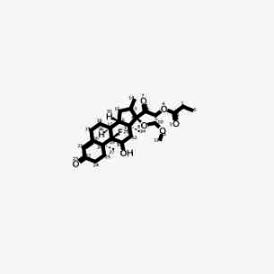 CCC(=O)OCC(=O)[C@@]1(OCOC)C(C)C[C@H]2[C@@H]3CCC4=CC(=O)CC[C@]4(C)[C@@]3(F)C(O)C[C@@]21C